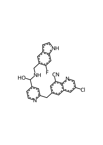 N#Cc1cc(Cc2cc(C(O)NCc3cc4cc[nH]c4cc3F)ccn2)cc2cc(Cl)cnc12